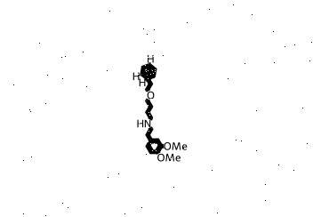 COc1ccc(CCNCCCCOCC[C@@H]2CC[C@H]3C[C@H]2C3(C)C)cc1OC